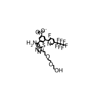 NC(=O)c1cc([N+](=O)[O-])cc(-c2ncc(C(F)(F)C(F)(F)C(F)(F)F)cc2F)c1Sc1nnnn1CCOCCOCCO